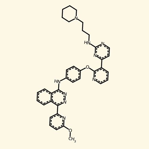 COc1cccc(-c2nnc(Nc3ccc(Oc4ncccc4-c4ccnc(NCCCN5CCCCC5)n4)cc3)c3ccccc23)n1